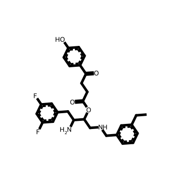 CCc1cccc(CNCC(OC(=O)CCC(=O)c2ccc(O)cc2)C(N)Cc2cc(F)cc(F)c2)c1